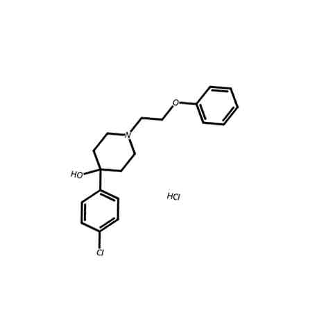 Cl.OC1(c2ccc(Cl)cc2)CCN(CCOc2ccccc2)CC1